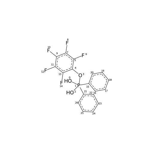 OP(O)(Oc1c(F)c(F)c(F)c(F)c1F)(c1ccccc1)c1ccccc1